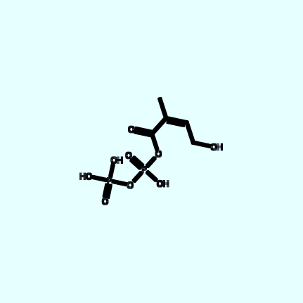 C/C(=C/CO)C(=O)OP(=O)(O)OP(=O)(O)O